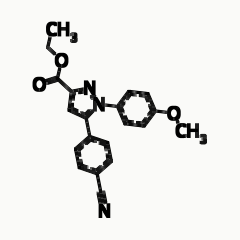 CCOC(=O)c1cc(-c2ccc(C#N)cc2)n(-c2ccc(OC)cc2)n1